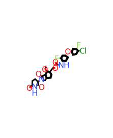 COc1c(COC(=O)Nc2ccc(Oc3ccc(Cl)c(F)c3)cc2F)ccc2c1C(=O)N(C1CCC(=O)NC1=O)C2